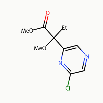 CCC(OC)(C(=O)OC)c1cncc(Cl)n1